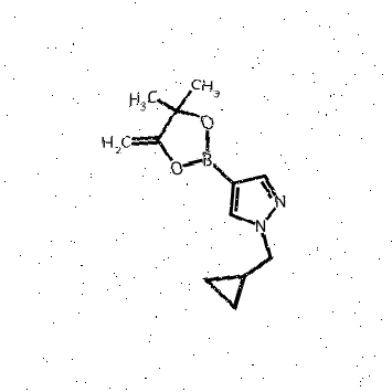 C=C1OB(c2cnn(CC3CC3)c2)OC1(C)C